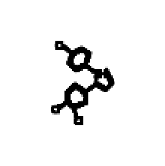 Clc1ccc([SH]2[C]=CC=C2c2ccc(Cl)c(Cl)c2)cc1